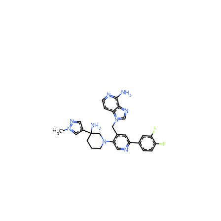 Cn1cc(C2(N)CCCN(c3cnc(-c4ccc(F)c(F)c4)cc3Cn3cnc4c(N)nccc43)C2)cn1